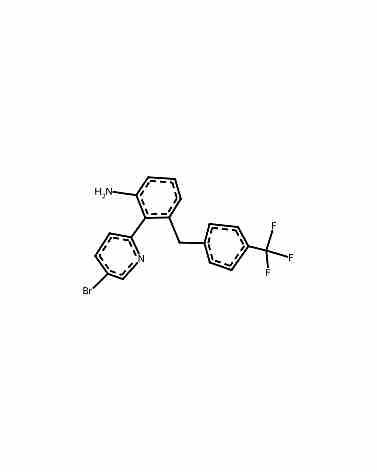 Nc1cccc(Cc2ccc(C(F)(F)F)cc2)c1-c1ccc(Br)cn1